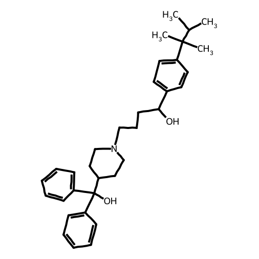 CC(C)C(C)(C)c1ccc(C(O)CCCN2CCC(C(O)(c3ccccc3)c3ccccc3)CC2)cc1